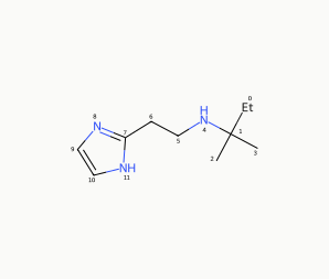 CCC(C)(C)NCCc1ncc[nH]1